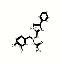 O=C(ON(Cc1ccc(Cl)c(Cl)c1)Cc1nc(-c2ccccc2)c[nH]1)C(F)(F)F